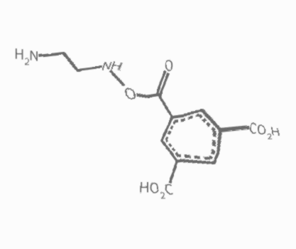 NCCNOC(=O)c1cc(C(=O)O)cc(C(=O)O)c1